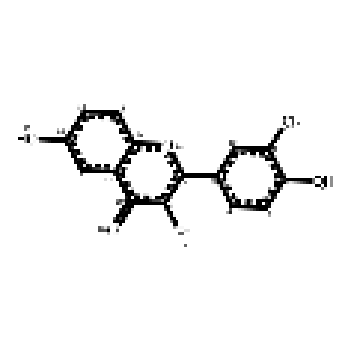 CCc1c(-c2ccc(O)c(Cl)c2)oc2ccc(O)cc2c1=O